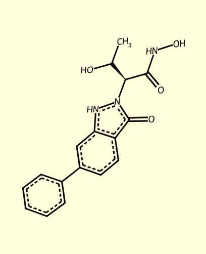 CC(O)[C@@H](C(=O)NO)n1[nH]c2cc(-c3ccccc3)ccc2c1=O